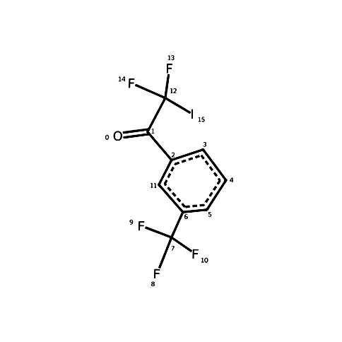 O=C(c1cccc(C(F)(F)F)c1)C(F)(F)I